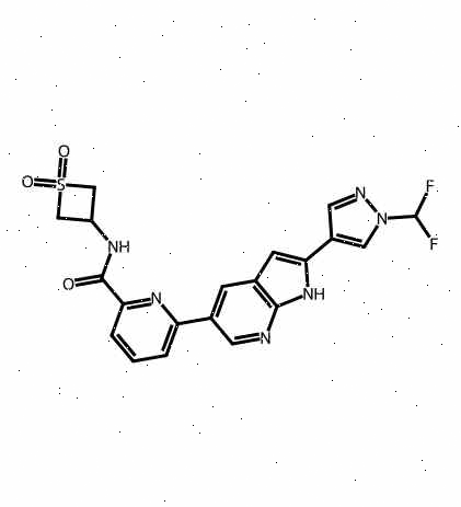 O=C(NC1CS(=O)(=O)C1)c1cccc(-c2cnc3[nH]c(-c4cnn(C(F)F)c4)cc3c2)n1